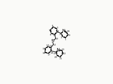 c1ccc(-c2ccccc2CSCc2ccccc2-c2ccccn2)nc1